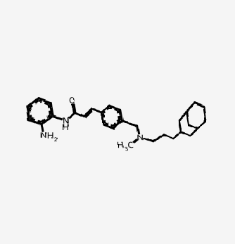 CN(CCCC1CC2CCCC(C2)C1)Cc1ccc(/C=C/C(=O)Nc2ccccc2N)cc1